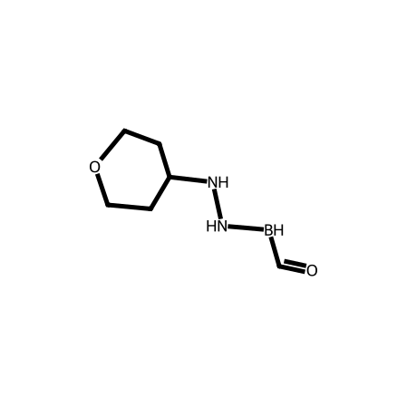 O=CBNNC1CCOCC1